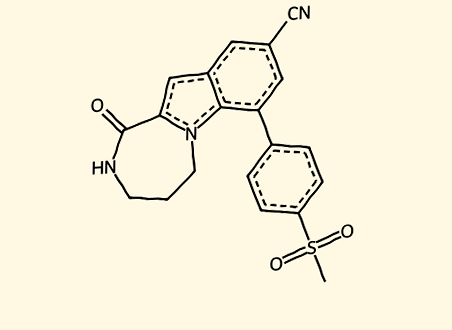 CS(=O)(=O)c1ccc(-c2cc(C#N)cc3cc4n(c23)CCCNC4=O)cc1